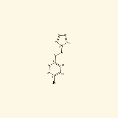 Brc1ccc(CCn2cccc2)cc1